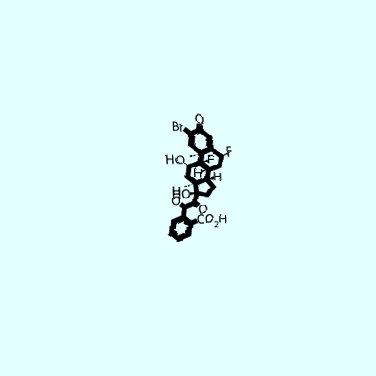 C[C@]12C=C(Br)C(=O)C=C1[C@H](F)C[C@H]1[C@@H]3CC[C@](O)(C(=O)C(O)c4ccccc4C(=O)O)[C@@]3(C)C[C@H](O)[C@@]12F